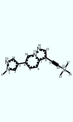 Cn1cc(-c2ccc3c(C#C[Si](C)(C)C)cnn3c2)cn1